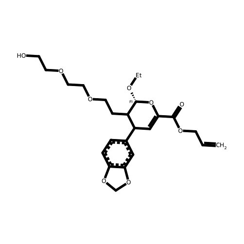 C=CCOC(=O)C1=CC(c2ccc3c(c2)OCO3)C(CCOCCOCCO)[C@H](OCC)O1